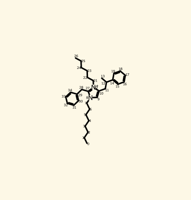 CCCCCCCCn1cc(CC(C)c2ccccc2)[n+](CCCCCC)c1Cc1ccccc1